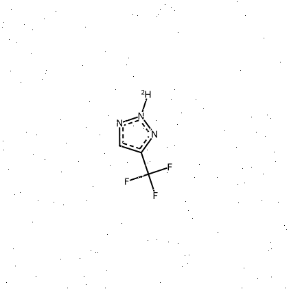 [2H]n1ncc(C(F)(F)F)n1